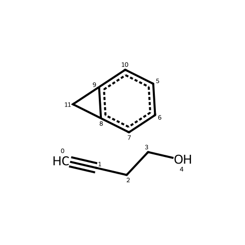 C#CCCO.c1ccc2c(c1)C2